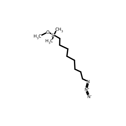 CO[Si](C)(C)CCCCCCCCN=[N+]=[N-]